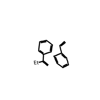 C=C(CC)c1ccccc1.C=Cc1ccccc1